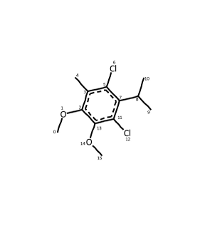 COc1c(C)c(Cl)c(C(C)C)c(Cl)c1OC